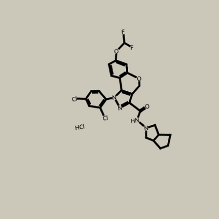 Cl.O=C(NN1CC2CCCC2C1)c1nn(-c2ccc(Cl)cc2Cl)c2c1COc1cc(OC(F)F)ccc1-2